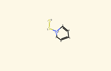 [S]SN1C=CC=CC1